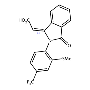 CSc1cc(C(F)(F)F)ccc1N1C(=O)c2ccccc2/C1=C\C(=O)O